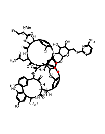 CN[C@@H](CC(C)C)C(=O)NC1C(=O)NC(CC(N)=O)C(=O)NC2C(=O)NC3C(=O)N[C@H](C(=O)NC(C(=O)O)c4cc(O)cc(O)c4-c4cc3ccc4O)[C@H](O)c3ccc(c(Cl)c3)Oc3cc2cc(c3OC2OC(CSc3nccc(N)n3)C(O)C(O)C2OC2CC(N)(I)C(O)C(C)O2)Oc2ccc(cc2Cl)C1O